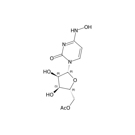 CC(=O)OC[C@H]1O[C@@H](n2ccc(NO)nc2=O)[C@H](O)[C@@H]1O